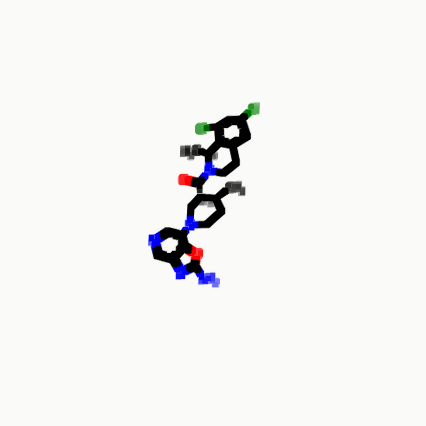 C[C@H]1CCN(c2cncc3nc(N)oc23)C[C@@H]1C(=O)N1CCc2cc(Cl)cc(Cl)c2[C@@H]1C